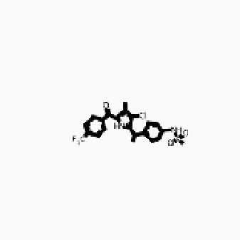 Cc1c(C(=O)c2ccc(C(F)(F)F)cc2)[nH]c(C(C)c2ccc(NS(C)(=O)=O)cc2)c1Cl